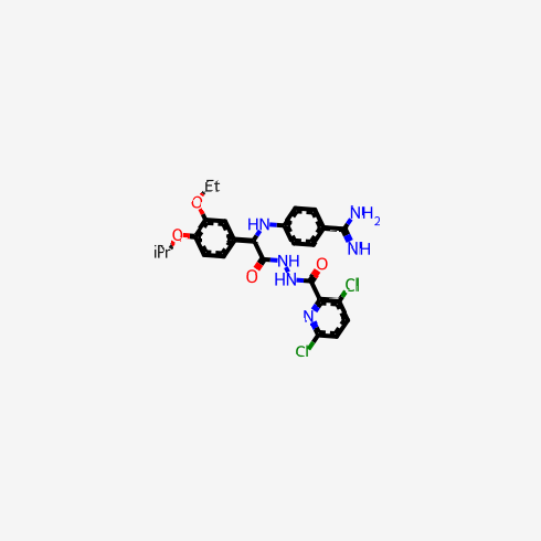 CCOc1cc(C(Nc2ccc(C(=N)N)cc2)C(=O)NNC(=O)c2nc(Cl)ccc2Cl)ccc1OC(C)C